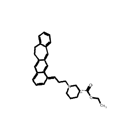 CCOC(=O)[C@@H]1CCCN(CCC=c2cccc3cc4c(cc23)=Cc2ccccc2CC4)C1